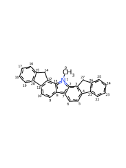 Cn1c2c3c(ccc2c2ccc4c(c21)Cc1ccccc1-4)-c1ccccc1C3